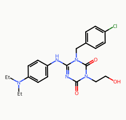 CCN(CC)c1ccc(Nc2nc(=O)n(CCO)c(=O)n2Cc2ccc(Cl)cc2)cc1